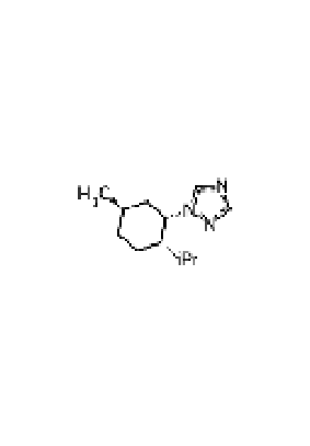 CC(C)[C@@H]1CC[C@@H](C)C[C@@H]1n1cncn1